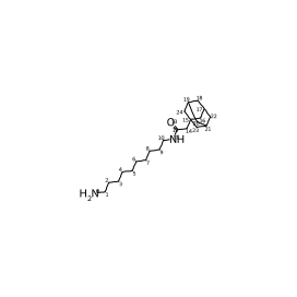 NCCCCCCCCCCNC(=O)CC12CC3CC(CC(C3)C1)C2